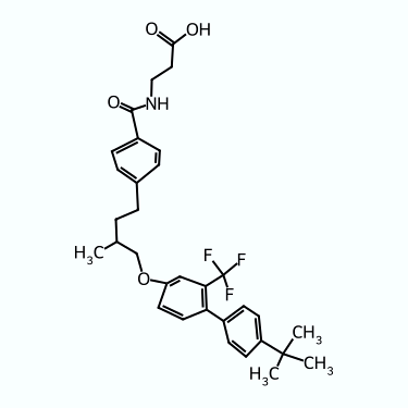 CC(CCc1ccc(C(=O)NCCC(=O)O)cc1)COc1ccc(-c2ccc(C(C)(C)C)cc2)c(C(F)(F)F)c1